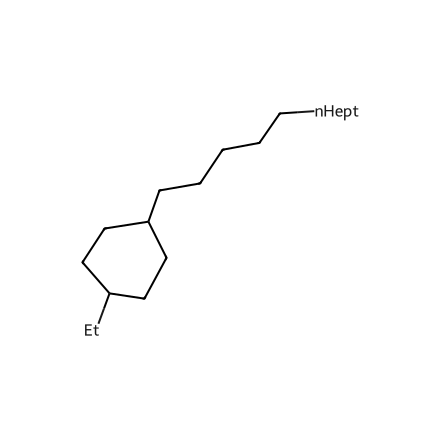 [CH2]CC1CCC(CCCCCCCCCCCC)CC1